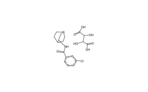 O=C(NC1CN2CCC1CC2)c1cccc(Cl)c1.O=C(O)C(O)C(O)C(=O)O